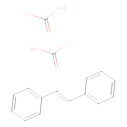 C(=Cc1ccccc1)c1ccccc1.O=C(O)O.O=C(O)O